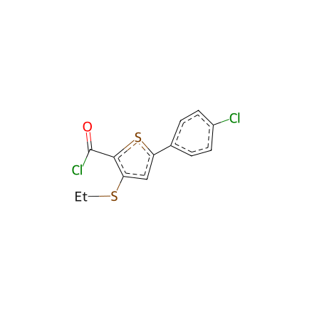 CCSc1cc(-c2ccc(Cl)cc2)sc1C(=O)Cl